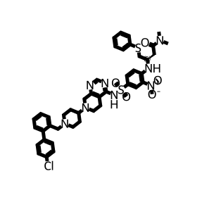 CN(C)C(=O)C[C@H](CSc1ccccc1)Nc1ccc(S(=O)(=O)Nc2ncnc3c2CCN(C2CCN(Cc4ccccc4-c4ccc(Cl)cc4)CC2)C3)cc1[N+](=O)[O-]